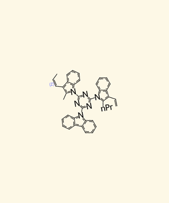 C=Cc1c(CCC)n(-c2nc(-n3c(C)c(/C=C\C)c4ccccc43)nc(-n3c4ccccc4c4ccccc43)n2)c2ccccc12